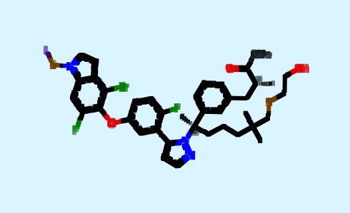 COC(=O)[C@H](C)Cc1cccc([C@@](C)(CCCC(C)(C)CSCCO)n2nccc2-c2cc(Oc3c(F)cc4c(ccn4SI)c3Br)ccc2F)c1